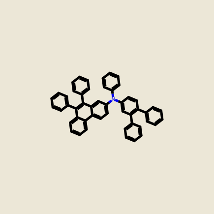 c1ccc(-c2ccc(N(c3ccccc3)c3ccc4c(c3)c(-c3ccccc3)c(-c3ccccc3)c3ccccc34)cc2-c2ccccc2)cc1